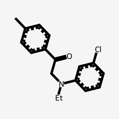 CCN(CC(=O)c1ccc(C)cc1)c1cccc(Cl)c1